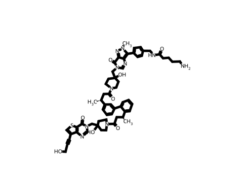 C[C@H](CC(=O)N1CCC(O)(Cn2cnc3c(-c4ccc(CNC(=O)CCCCN)cc4)n(C)nc3c2=O)CC1)c1cccc(-c2ccccc2[C@H](C)CC(=O)N2CCC(O)(Cn3cnc4c(C#CCO)csc4c3=O)CC2)c1